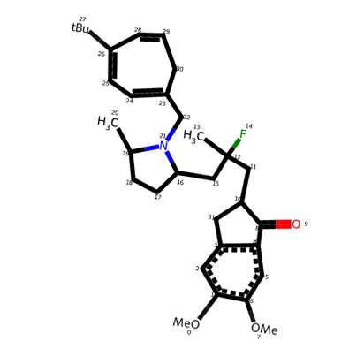 COc1cc2c(cc1OC)C(=O)C(CC(C)(F)CC1CCC(C)N1CC1=CC=C(C(C)(C)C)C=CC1)C2